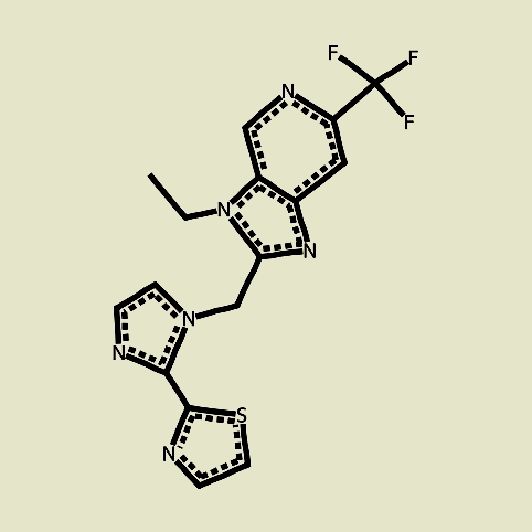 CCn1c(Cn2ccnc2-c2nccs2)nc2cc(C(F)(F)F)ncc21